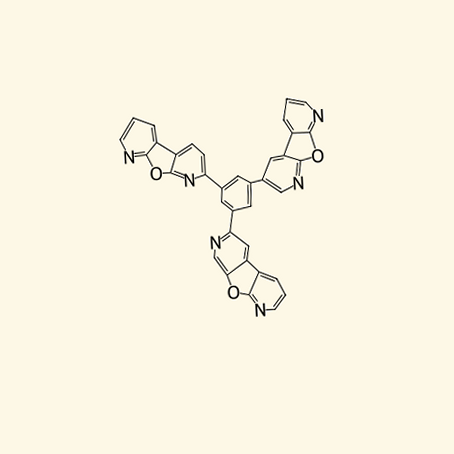 c1cnc2oc3cnc(-c4cc(-c5cnc6oc7ncccc7c6c5)cc(-c5ccc6c(n5)oc5ncccc56)c4)cc3c2c1